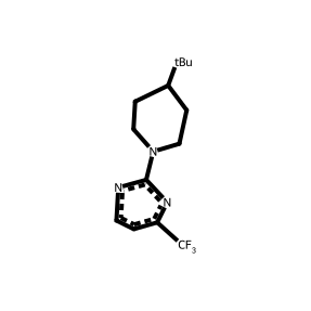 CC(C)(C)C1CCN(c2nccc(C(F)(F)F)n2)CC1